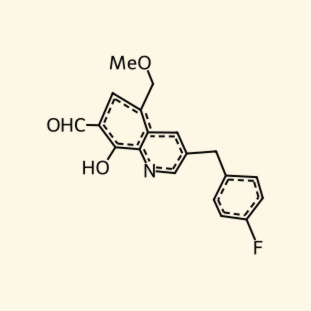 COCc1cc(C=O)c(O)c2ncc(Cc3ccc(F)cc3)cc12